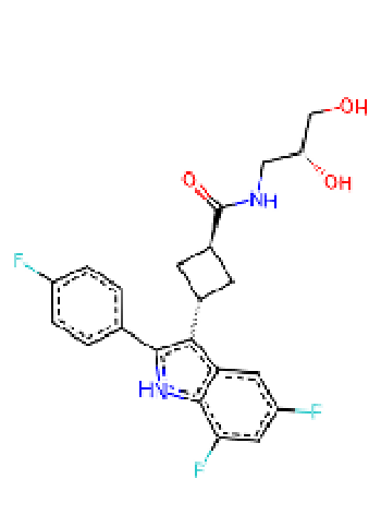 O=C(NC[C@@H](O)CO)[C@H]1C[C@H](c2c(-c3ccc(F)cc3)[nH]c3c(F)cc(F)cc32)C1